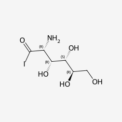 N[C@@H](C(=O)I)[C@@H](O)[C@H](O)[C@H](O)CO